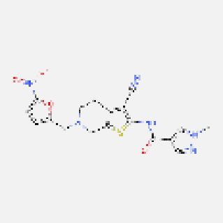 Cn1cc(C(=O)Nc2sc3c(c2C#N)CCN(Cc2ccc([N+](=O)[O-])o2)C3)cn1